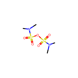 CN(C)S(=O)(=O)OS(=O)(=O)N(C)C